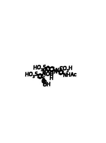 CC(=O)Nc1ccc(/N=N/c2ccc3cc(S(=O)(=O)O)c(/N=N/c4cc(S(=O)(=O)O)ccc4SOOO)c(O)c3c2O)c(C(=O)O)c1